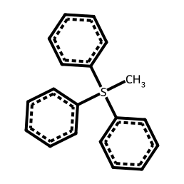 CS(c1ccccc1)(c1ccccc1)c1ccccc1